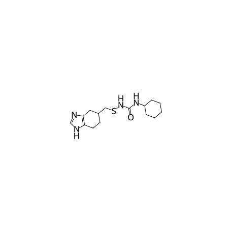 O=C(NSCC1CCc2[nH]cnc2C1)NC1CCCCC1